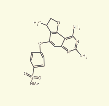 CNS(=O)(=O)c1ccc(Oc2cc3nc(N)nc(N)c3c3c2C(C)CO3)cc1